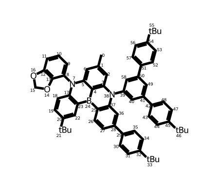 Cc1cc2c3c(c1)N(c1cccc4c1OCO4)c1ccc(C(C)(C)C)cc1B3c1ccc(-c3ccc(C(C)(C)C)cc3)cc1N2c1cc(-c2ccc(C(C)(C)C)cc2)cc(-c2ccc(C(C)(C)C)cc2)c1